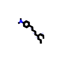 C=C/C=C(\C=C/C)/C=C/C=C/c1ccc(N(C)C)cc1